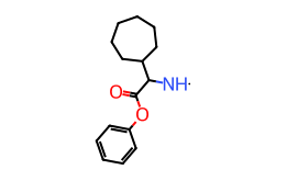 [NH]C(C(=O)Oc1ccccc1)C1CCCCCC1